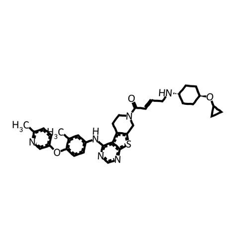 Cc1ccc(Oc2ccc(Nc3ncnc4sc5c(c34)CCN(C(=O)/C=C/CN[C@H]3CC[C@H](OC4CC4)CC3)C5)cc2C)cn1